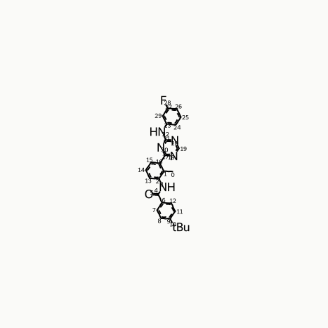 Cc1c(NC(=O)c2ccc(C(C)(C)C)cc2)cccc1-c1ncnc(Nc2cccc(F)c2)n1